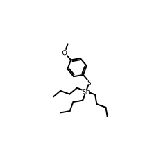 CCC[CH2][Sn]([CH2]CCC)([CH2]CCC)[S]c1ccc(OC)cc1